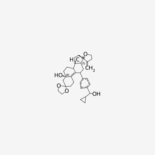 C=C1CCO[C@]12CCC1C3CC[C@@]4(O)CC5(CCC4=C3C(c3ccc(C(O)C4CC4)cc3)C[C@@]12C)OCCO5